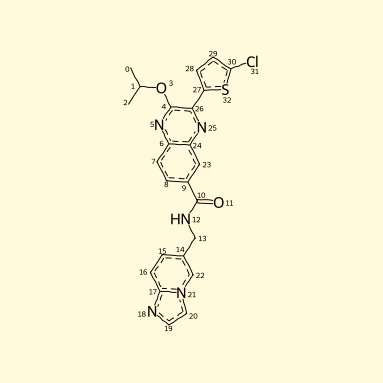 CC(C)Oc1nc2ccc(C(=O)NCc3ccc4nccn4c3)cc2nc1-c1ccc(Cl)s1